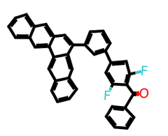 O=C(c1ccccc1)c1c(F)cc(-c2cccc(-c3cc4cc5ccccc5cc4c4cc5ccccc5cc34)c2)cc1F